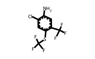 Nc1cc(C(F)(F)F)c(SC(F)(F)F)cc1Cl